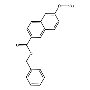 CCCCOc1ccc2cc(C(=O)OCc3ccccc3)ccc2c1